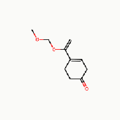 C=C(OCOC)C1=CCC(=O)CC1